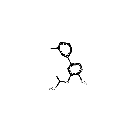 CCOC(=O)C(C)Oc1cc(-c2cccc(C)c2)cnc1[N+](=O)[O-]